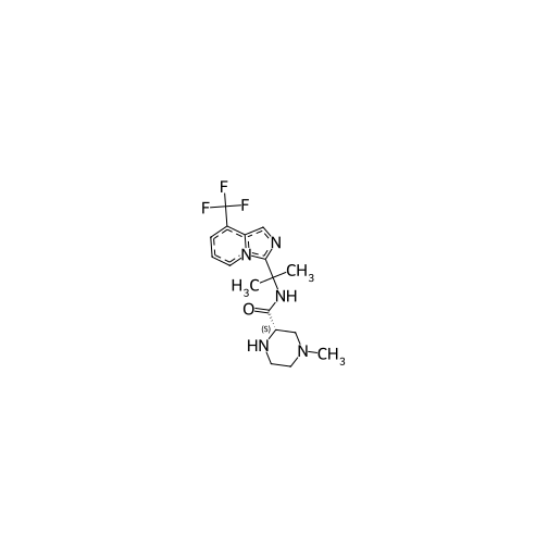 CN1CCN[C@H](C(=O)NC(C)(C)c2ncc3c(C(F)(F)F)cccn23)C1